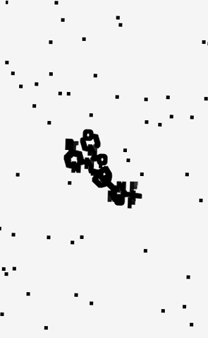 CC(F)(F)c1nc(C2=C3CC(CN(C(=O)N4CCOCC4)c4cc(Br)ccn4)(CC2)C3)no1